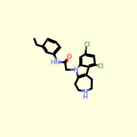 CCc1cccc(NC(=O)Cn2c3c(c4c(Cl)cc(Cl)cc42)CCNCC3)c1